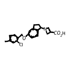 Cc1ccc(COc2ccc3c(c2)CCC3N2CC(C(=O)O)C2)c(Cl)c1